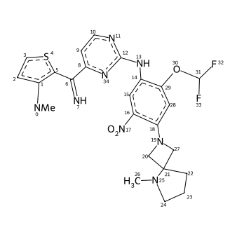 CNc1ccsc1C(=N)c1ccnc(Nc2cc([N+](=O)[O-])c(N3CC4(CCCN4C)C3)cc2OC(F)F)n1